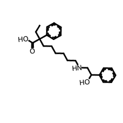 CCC(CCCCCCNCC(O)c1ccccc1)(C(=O)O)c1ccccc1